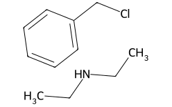 CCNCC.ClCc1ccccc1